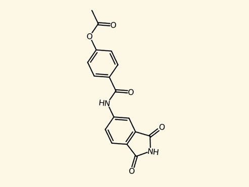 CC(=O)Oc1ccc(C(=O)Nc2ccc3c(c2)C(=O)NC3=O)cc1